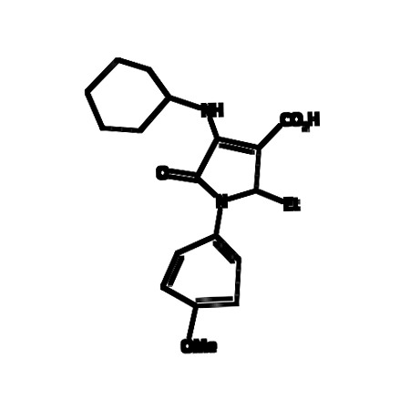 CCC1C(C(=O)O)=C(NC2CCCCC2)C(=O)N1c1ccc(OC)cc1